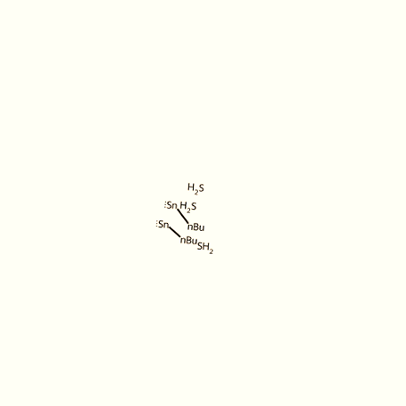 CCC[CH2][Sn].CCC[CH2][Sn].S.S.S